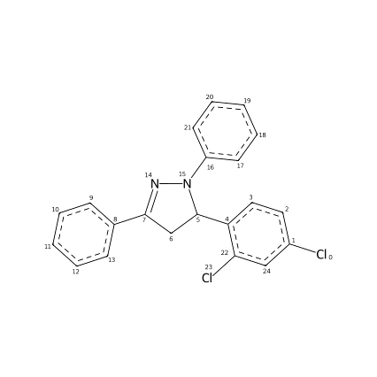 Clc1ccc(C2CC(c3ccccc3)=NN2c2ccccc2)c(Cl)c1